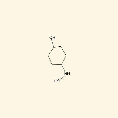 CCCNC1CCC(O)CC1